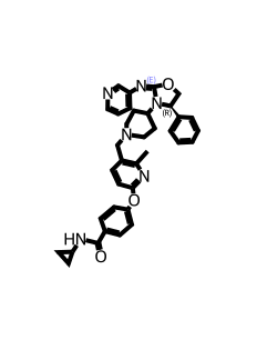 Cc1nc(Oc2ccc(C(=O)NC3CC3)cc2)ccc1CN1CCC(N2/C(=N\c3cccnc3)OC[C@H]2c2ccccc2)CC1